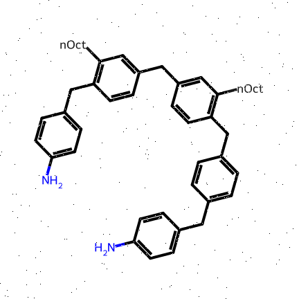 CCCCCCCCc1cc(Cc2ccc(Cc3ccc(Cc4ccc(N)cc4)cc3)c(CCCCCCCC)c2)ccc1Cc1ccc(N)cc1